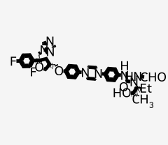 CC[C@@H]([C@H](C)O)N(NC=O)C(=O)Nc1ccc(N2CCN(c3ccc(OC[C@@H]4CO[C@@](Cn5cncn5)(c5ccc(F)cc5F)C4)cc3)CC2)cc1